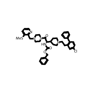 CSc1cccnc1CN1CCN(C(=O)[C@H](NC(=O)OCc2ccccc2)C2CCN(CCc3cc(Cl)ccc3-c3ccccc3)CC2)CC1